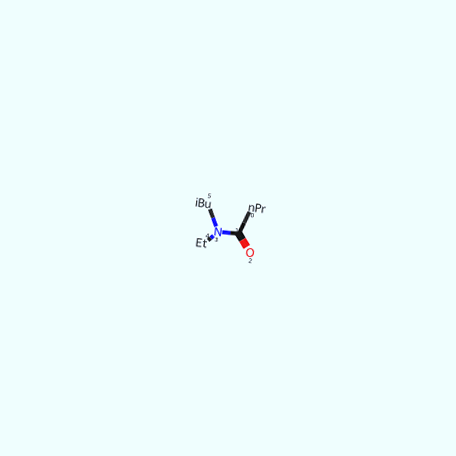 [CH2]CCC(=O)N(CC)C(C)CC